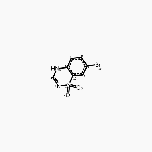 O=S1(=O)N=CNc2ccc(Br)cc21